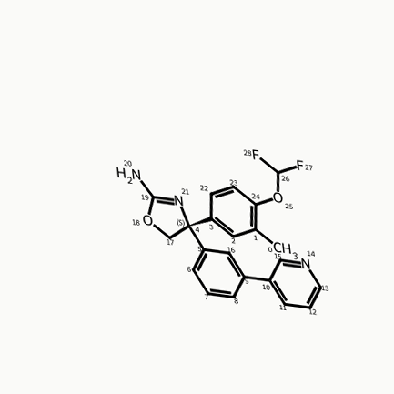 Cc1cc([C@@]2(c3cccc(-c4cccnc4)c3)COC(N)=N2)ccc1OC(F)F